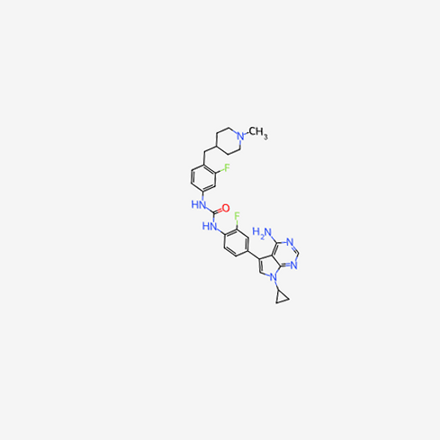 CN1CCC(Cc2ccc(NC(=O)Nc3ccc(-c4cn(C5CC5)c5ncnc(N)c45)cc3F)cc2F)CC1